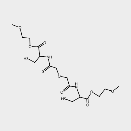 COCCOC(=O)C(CS)NC(=O)COCC(=S)NC(CS)C(=O)OCCOC